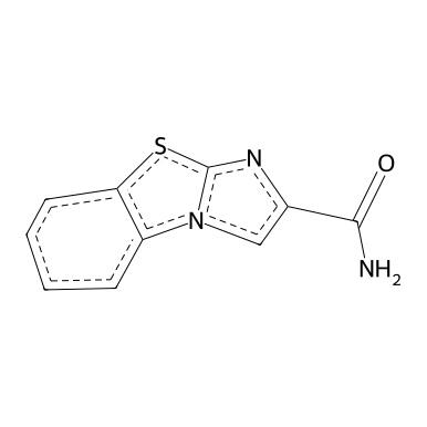 NC(=O)c1cn2c(n1)sc1ccccc12